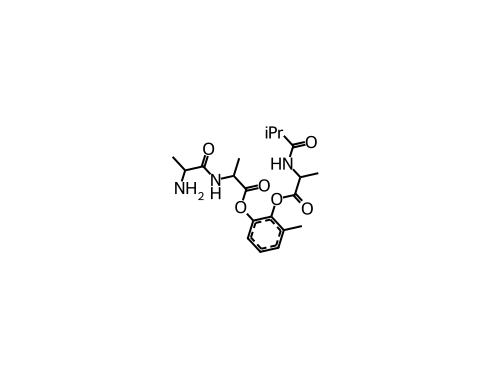 Cc1cccc(OC(=O)C(C)NC(=O)C(C)N)c1OC(=O)C(C)NC(=O)C(C)C